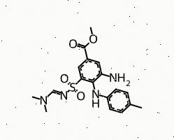 COC(=O)c1cc(N)c(Nc2ccc(C)cc2)c(S(=O)(=O)N=CN(C)C)c1